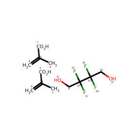 C=C(C)C(=O)O.C=C(C)C(=O)O.OCC(F)(F)C(F)(F)CO